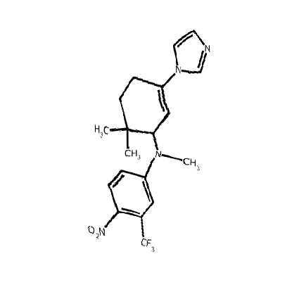 CN(c1ccc([N+](=O)[O-])c(C(F)(F)F)c1)C1C=C(n2ccnc2)CCC1(C)C